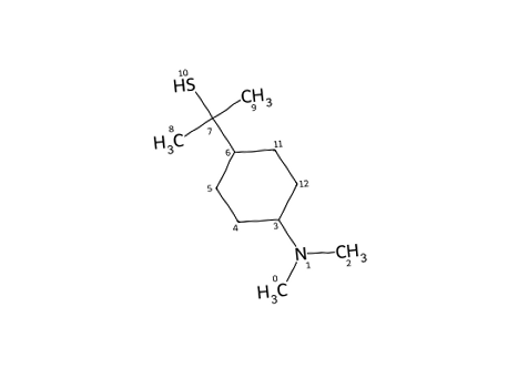 CN(C)C1CCC(C(C)(C)S)CC1